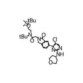 CC(C)(C)N(CCO[Si](C)(C)C(C)(C)C)C(=O)CN1Cc2ccc(-c3nc(NC4CCOCC4)ncc3Cl)cc2C1=O